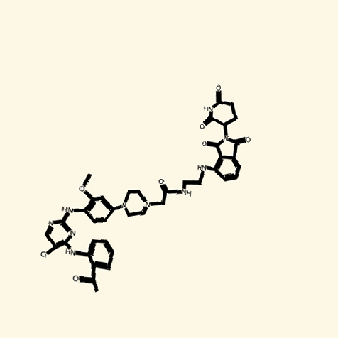 COc1cc(N2CCN(CC(=O)NCCNc3cccc4c3C(=O)N(C3CCC(=O)NC3=O)C4=O)CC2)ccc1Nc1ncc(Cl)c(Nc2ccccc2C(C)=O)n1